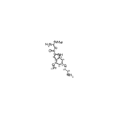 CNC(N)=NC(=O)c1cc2c(OC(C)C)cc(OCCN)cc2[nH]1